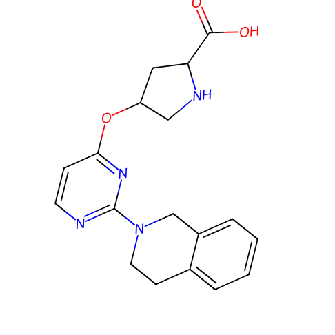 O=C(O)C1CC(Oc2ccnc(N3CCc4ccccc4C3)n2)CN1